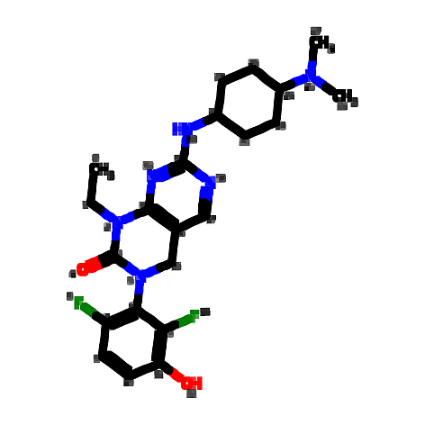 CCN1C(=O)N(c2c(F)ccc(O)c2F)Cc2cnc(NC3CCC(N(C)C)CC3)nc21